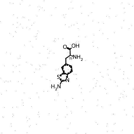 Nc1nc2ccc(C[C@H](N)C(=O)O)cc2s1